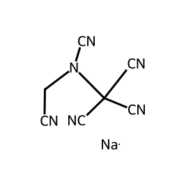 N#CCN(C#N)C(C#N)(C#N)C#N.[Na]